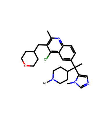 CC(=O)N1CCC(C(C)(c2ccc3nc(C)c(CC4CCOCC4)c(Cl)c3c2)c2cncn2C)CC1